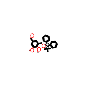 COc1cc(C=O)cc(CO[Si](c2ccccc2)(c2ccccc2)C(C)(C)C)c1OC